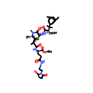 CN[C@H](C(=O)N[C@H](C(=O)N(C)[C@H](/C=C(\C)C(=O)N[C@H](CCC(=O)NCCN1C(=O)C=CC1=O)C(=O)OC(C)(C)C)C(C)C)C(C)(C)C)C(C)(C)c1cc(C)cc(C)c1